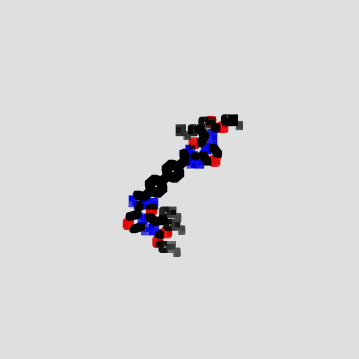 COC(=O)N[C@H](C(=O)N1CCOC[C@H]1c1ncc(-c2ccc(-c3ccc(-c4cnc([C@@H]5COCCN5C(=O)[C@@H](NC(=O)OC)C(C)C)[nH]4)cc3)cc2)[nH]1)C(C)C